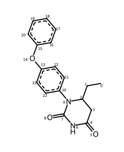 CCC1CC(=O)NC(=O)N1c1ccc(Oc2ccccc2)cc1